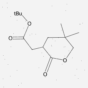 CC1(C)COC(=O)C(CC(=O)OC(C)(C)C)C1